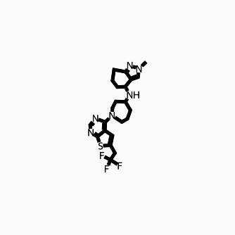 Cn1cc2c(n1)CCCC2NC1CCCN(c2ncnc3sc(CC(F)(F)F)cc23)CC1